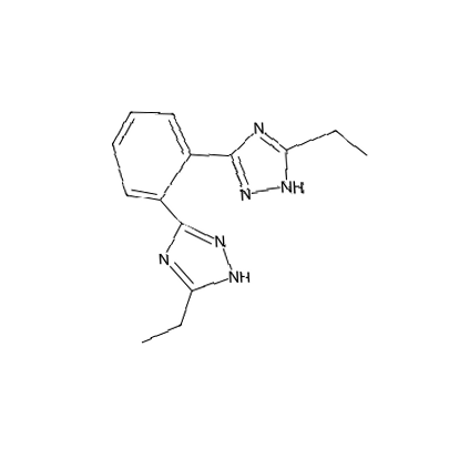 CCc1nc(-c2ccccc2-c2n[nH]c(CC)n2)n[nH]1